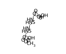 CC(=O)OC1(O)CC(=O)OC(CCNC(=S)NCCCNC(=S)NCCC2CC(O)(CC(=O)O)CC(=O)O2)C1